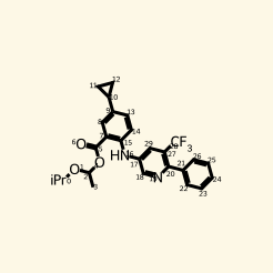 CC(C)OC(C)OC(=O)c1cc(C2CC2)ccc1Nc1cnc(-c2ccccc2)c(C(F)(F)F)c1